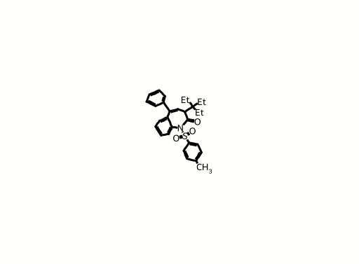 CCC(CC)(CC)C1C=C(c2ccccc2)c2ccccc2N(S(=O)(=O)c2ccc(C)cc2)C1=O